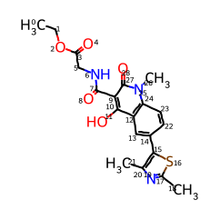 CCOC(=O)CNC(=O)c1c(O)c2cc(-c3sc(C)nc3C)ccc2n(C)c1=O